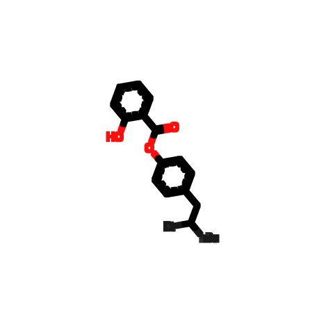 CCCCC(CC)Cc1ccc(OC(=O)c2ccccc2O)cc1